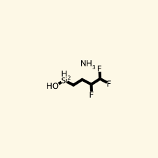 N.O[SiH2]CCC(F)C(F)F